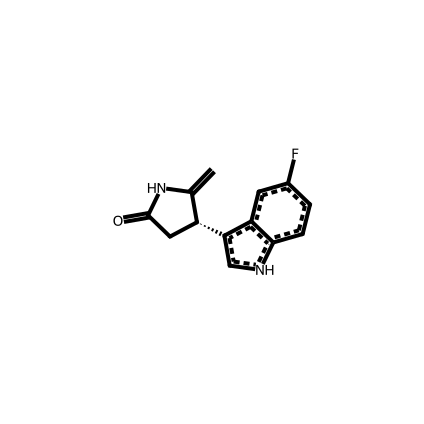 C=C1NC(=O)C[C@H]1c1c[nH]c2ccc(F)cc12